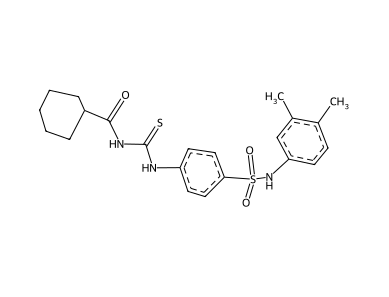 Cc1ccc(NS(=O)(=O)c2ccc(NC(=S)NC(=O)C3CCCCC3)cc2)cc1C